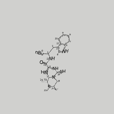 CCCCC(Cc1c[nH]c2ccccc12)NC(=O)C(=N)NC(=N)N1C[C@@H](C)N(C)[C@H](C)C1